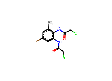 O=C(CCl)Nc1cc(Br)cc([N+](=O)[O-])c1NC(=O)CCl